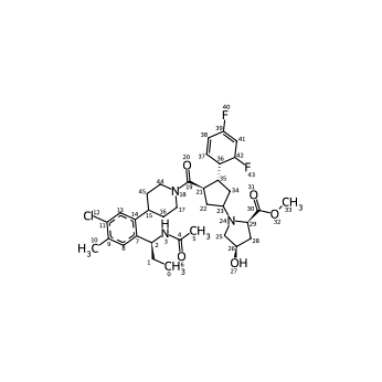 CC[C@H](NC(C)=O)c1cc(C)c(Cl)cc1C1CCN(C(=O)[C@@H]2CC(N3C[C@H](O)C[C@@H]3C(=O)OC)C[C@H]2C2C=CC(F)=CC2F)CC1